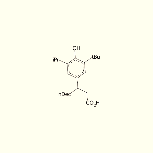 CCCCCCCCCCC(CC(=O)O)c1cc(C(C)C)c(O)c(C(C)(C)C)c1